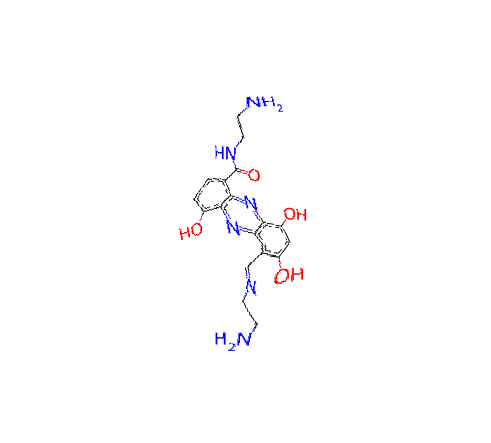 NCCN=Cc1c(O)cc(O)c2nc3c(C(=O)NCCN)ccc(O)c3nc12